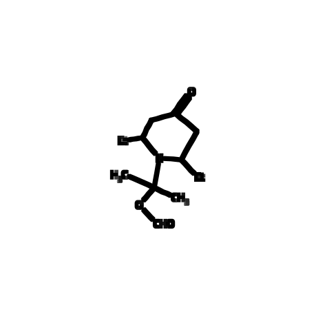 CCC1CC(=O)CC(CC)N1C(C)(C)OC=O